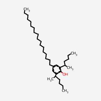 CCCCCCCCCCCCCCCCCCc1cc(C(C)CCCC)c(O)c(C(C)CCCC)c1